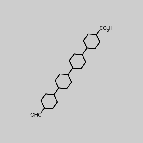 O=CC1CCC(C2CCC(C3CCC(C4CCC(C(=O)O)CC4)CC3)CC2)CC1